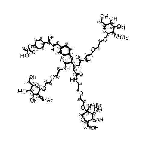 CC(=O)NC1C(OCCOCCNC(=O)CN(CC(=O)NCCOCCOC2(NC(C)=O)COC(CO)C(O)C2O)C(Cc2ccc(CNC(=O)C3CCC(OP(C)(=O)O)CC3)cc2)C(=O)NCCOCCOC2OC(CO)C(O)C(O)C2NC(C)=O)OC(CO)C(O)C1O